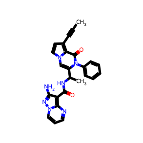 CC#Cc1ccn2cc(C(C)NC(=O)c3c(N)nn4cccnc34)n(-c3ccccc3)c(=O)c12